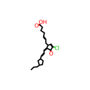 CCCC1CCC(/C=C/C=C2\C(=O)C(Cl)=CC2C/C=C/CCCC(=O)O)C1